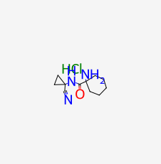 Cl.N#CC1(NC(=O)C2(N)CCCCC2)CC1